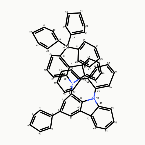 c1ccc(-c2cc(-n3c4ccccc4c4c([Si](c5ccccc5)(c5ccccc5)c5ccccc5)cccc43)c3c(c2)c2ccccc2n3-c2ccccc2-c2ccccc2)cc1